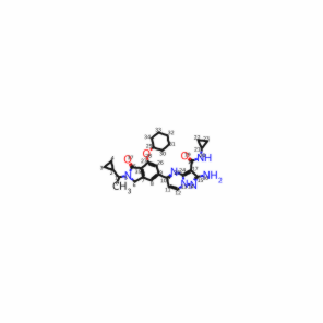 CC(C1CC1)N1Cc2cc(-c3ccn4nc(N)c(C(=O)NC5CC5)c4n3)cc(OC3CCCCC3)c2C1=O